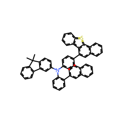 CC1(C)c2ccccc2-c2cc(N(c3ccc(-c4cc5ccccc5c5sc6ccccc6c45)cc3)c3ccccc3-c3ccc4ccccc4c3)ccc21